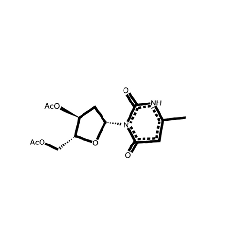 CC(=O)OC[C@H]1O[C@@H](n2c(=O)cc(C)[nH]c2=O)C[C@@H]1OC(C)=O